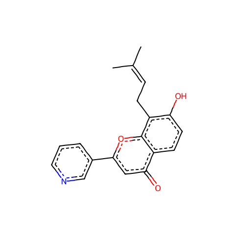 CC(C)=CCc1c(O)ccc2c(=O)cc(-c3cccnc3)oc12